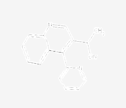 CC(O)c1cnc2ccccc2c1-c1ccccn1